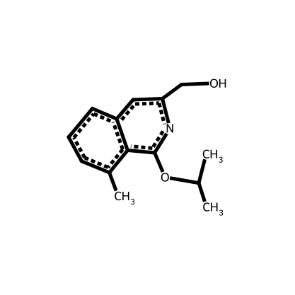 Cc1cccc2cc(CO)nc(OC(C)C)c12